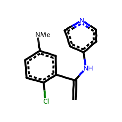 C=C(Nc1ccncc1)c1cc(NC)ccc1Cl